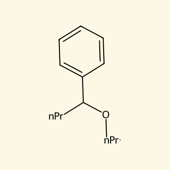 CC[CH]OC(CCC)c1ccccc1